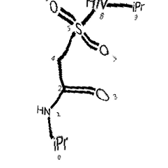 CC(C)NC(=O)CS(=O)(=O)NC(C)C